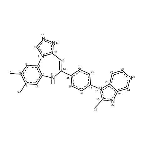 Cc1cc2c(cc1C)-n1cnnc1C=C(c1ccc(-n3c(C)nc4cnccc43)cc1)N2